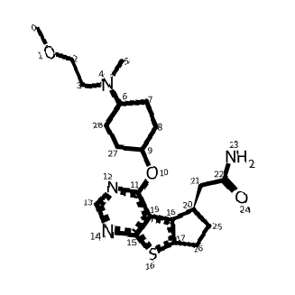 COCCN(C)C1CCC(Oc2ncnc3sc4c(c23)[C@@H](CC(N)=O)CC4)CC1